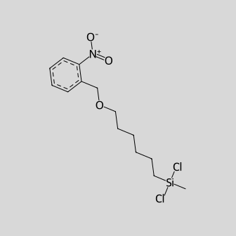 C[Si](Cl)(Cl)CCCCCCOCc1ccccc1[N+](=O)[O-]